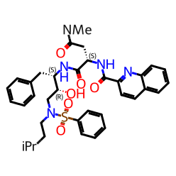 CNC(=O)C[C@H](NC(=O)c1ccc2ccccc2n1)C(=O)N[C@@H](Cc1ccccc1)[C@H](O)CN(CCC(C)C)S(=O)(=O)c1ccccc1